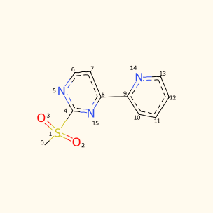 CS(=O)(=O)c1nccc(-c2ccccn2)n1